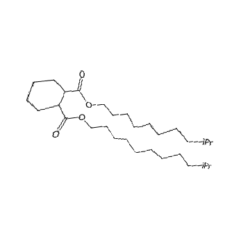 CC(C)CCCCCCCCCOC(=O)C1CCCCC1C(=O)OCCCCCCCCC(C)C